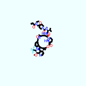 C=CC(=O)N1CCOC2(CCN(C(=O)N(C)[C@H](C(=O)N[C@H]3Cc4coc(n4)-c4ccc5c(c4)c(c(-c4cccnc4[C@H](C)OC)n5CC(F)(F)F)CC(C)(C)COC(=O)[C@@H]4CCCN(N4)C3=O)C(C)C)CC2)C1